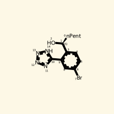 CCCCC[C@H](O)c1ccc(Br)cc1-c1nnn[nH]1